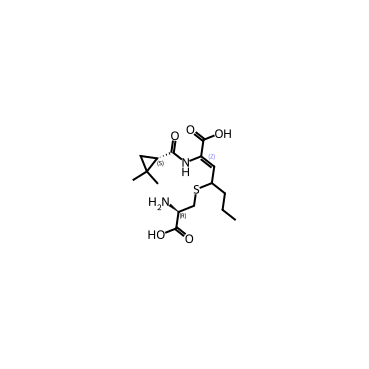 CCCC(/C=C(\NC(=O)[C@H]1CC1(C)C)C(=O)O)SC[C@H](N)C(=O)O